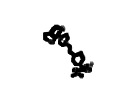 CN(C)S(=O)(=O)NC1CCC(CCN2CCN(c3nccc4c3OCC4)CC2)CC1